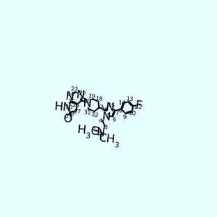 CN(C)CCn1cc(-c2ccc(F)cc2)nc1C1CCN(c2ncnc3c2CC(=O)N3)CC1